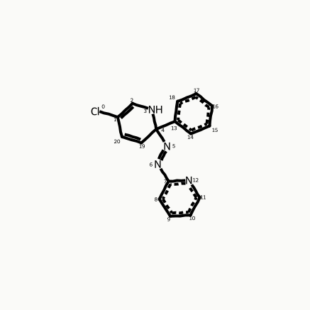 ClC1=CNC(N=Nc2ccccn2)(c2ccccc2)C=C1